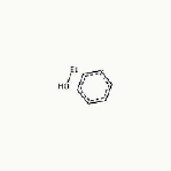 CCO.[c]1ccccc1